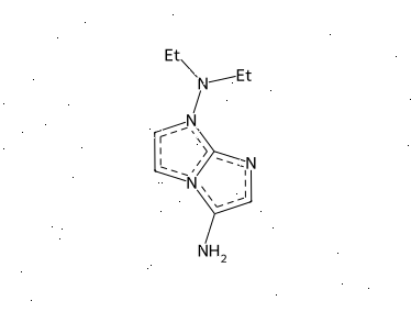 CCN(CC)n1ccn2c(N)cnc12